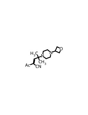 CC(=O)/C(C#N)=C/C(C)(C)N1CCN(C2COC2)CC1